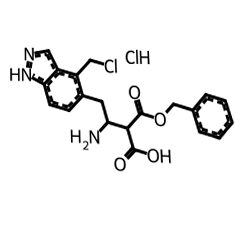 Cl.NC(Cc1ccc2[nH]ncc2c1CCl)C(C(=O)O)C(=O)OCc1ccccc1